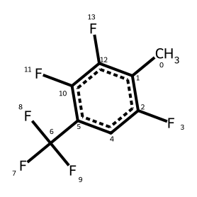 Cc1c(F)cc(C(F)(F)F)c(F)c1F